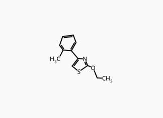 CCOc1nc(-c2ccccc2C)cs1